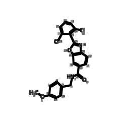 COc1ccc(CNC(=O)c2ccc3nc(-c4c(Cl)cccc4Cl)oc3c2)cc1